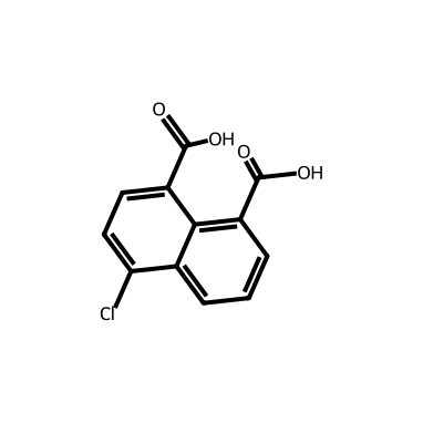 O=C(O)c1cccc2c(Cl)ccc(C(=O)O)c12